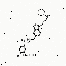 CN(CCCn1nnc2cc(CNC[C@H](O)c3ccc(O)c(NC=O)c3)ccc21)C1CC[CH]CC1